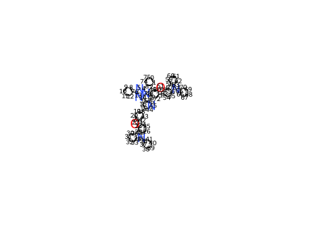 c1ccc(-c2nc(-c3ccccc3)nc(-c3cc(-c4ccc5oc6c(ccc7c6c6ccccc6n7-c6ccccc6)c5c4)cnc3-c3ccc4oc5c(ccc6c5c5ccccc5n6-c5ccccc5)c4c3)n2)cc1